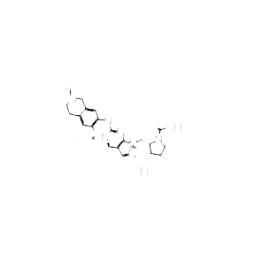 COc1cc2c(cc1Nc1ncc3cnn(C[C@@H]4[C@@H](C)[C@H](F)CN4C(C)=O)c3n1)CN(C)CC2